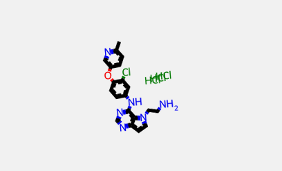 Cc1ccc(Oc2ccc(Nc3ncnc4ccn(CCN)c34)cc2Cl)cn1.Cl.Cl.Cl